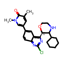 Cc1cc(-c2ccc3nc(Cl)nc([C@H]4OCCNC4C4CCCCC4)c3c2)cn(C)c1=O